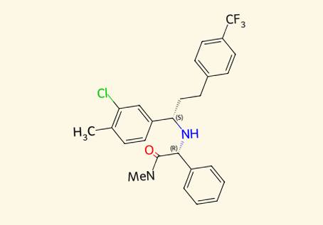 CNC(=O)[C@H](N[C@@H](CCc1ccc(C(F)(F)F)cc1)c1ccc(C)c(Cl)c1)c1ccccc1